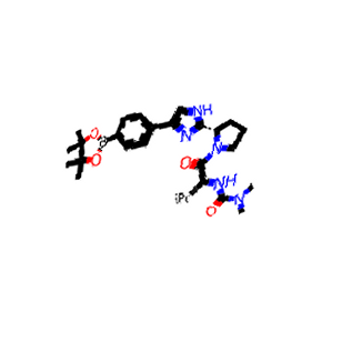 CC(C)C(NC(=O)N(C)C)C(=O)N1CCC[C@H]1c1nc(-c2ccc(B3OC(C)(C)C(C)(C)O3)cc2)c[nH]1